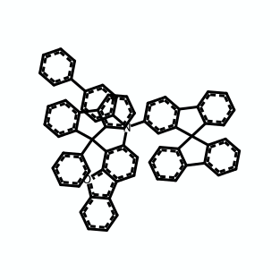 c1ccc(-c2ccc(N(c3ccc4c(c3)C3(c5ccccc5-c5ccccc53)c3ccccc3-4)c3ccc4c(oc5ccccc54)c3C3(c4ccccc4)c4ccccc4-c4ccccc43)cc2)cc1